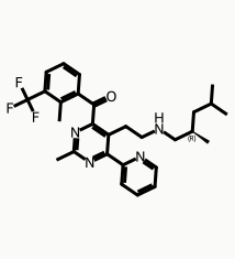 Cc1nc(C(=O)c2cccc(C(F)(F)F)c2C)c(CCNC[C@H](C)CC(C)C)c(-c2ccccn2)n1